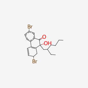 CCCCC(CC)CC1(O)C(=O)c2cc(Br)ccc2C2=C1CC(Br)C=C2